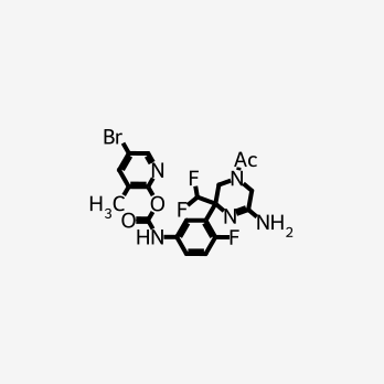 CC(=O)N1CC(N)=NC(c2cc(NC(=O)Oc3ncc(Br)cc3C)ccc2F)(C(F)F)C1